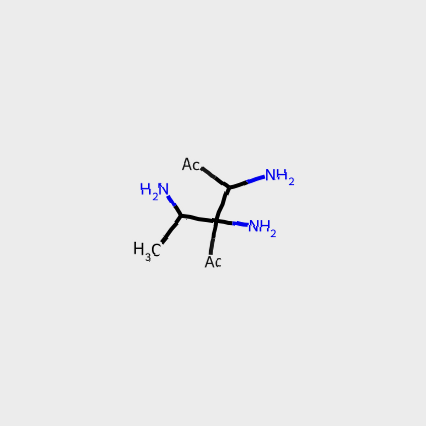 CC(=O)C(N)C(N)(C(C)=O)C(C)N